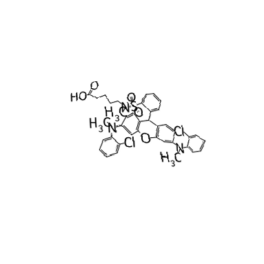 CN(c1ccc2c(c1)Oc1cc(N(C)c3ccccc3Cl)ccc1C2c1ccccc1S(=O)(=O)N(C)CCCCC(=O)O)c1ccccc1Cl